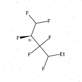 [CH2]CC(F)C(F)(F)[C@@H](F)C(F)F